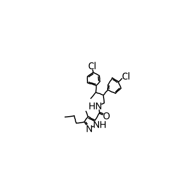 CCCc1n[nH]c(C(=O)NCC(c2ccc(Cl)cc2)C(C)c2ccc(Cl)cc2)c1C